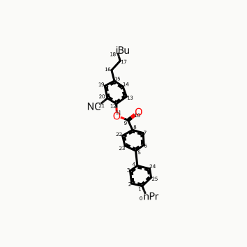 CCCc1ccc(-c2ccc(C(=O)Oc3ccc(CCC(C)CC)cc3C#N)cc2)cc1